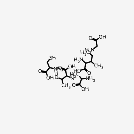 CC(N)C(=O)O.CC(O)C(N)C(=O)O.CCC(C)C(N)C(=O)O.NC(CS)C(=O)O.NCC(=O)O